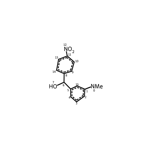 CNc1cccc(C(O)c2ccc([N+](=O)[O-])cc2)c1